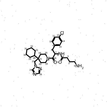 NCCCC(=O)NC(Cc1ccc(Cl)cc1)C(=O)N1CCC(Cn2cncn2)(C2CCCCC2)CC1